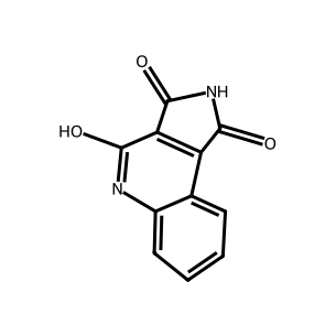 O=C1NC(=O)c2c1c(O)nc1ccccc21